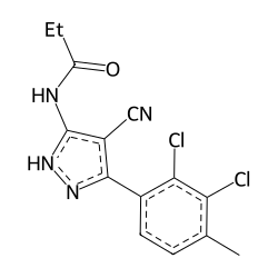 CCC(=O)Nc1[nH]nc(-c2ccc(C)c(Cl)c2Cl)c1C#N